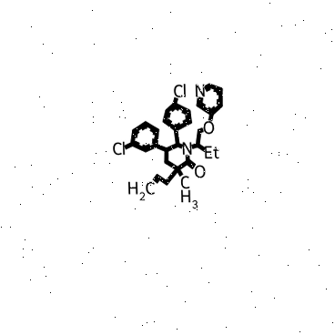 C=CCC1(C)CC(c2cccc(Cl)c2)C(c2ccc(Cl)cc2)N(C(CC)COc2cccnc2)C1=O